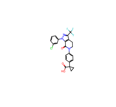 O=C1c2c(c(C(F)(F)F)nn2-c2cccc(Cl)c2)CCN1c1ccc(C2(C(=O)O)CC2)cc1